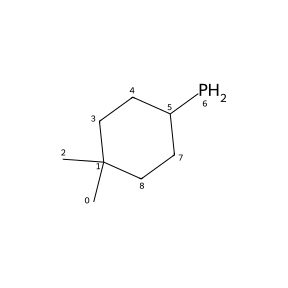 CC1(C)CCC(P)CC1